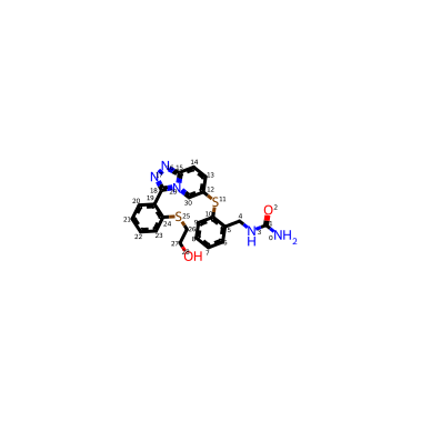 NC(=O)NCc1ccccc1Sc1ccc2nnc(-c3ccccc3SCCO)n2c1